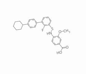 COc1cc(C(=O)O)ccc1NSc1cccc(-c2ccc(C3CCCCC3)cc2)c1F